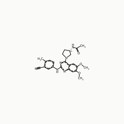 COc1cc2nc(Nc3ccc(C)c(C#N)c3)nc(N3CC[C@H](NC(C)=O)C3)c2cc1OC